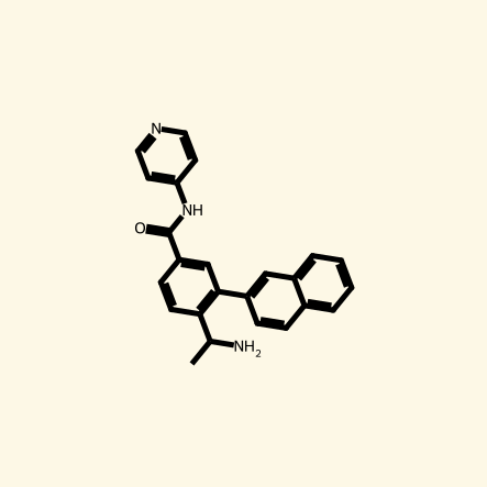 CC(N)c1ccc(C(=O)Nc2ccncc2)cc1-c1ccc2ccccc2c1